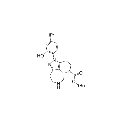 CC(C)c1ccc(-n2nc3c4c2CCN(C(=O)OC(C)(C)C)C4CNCC3)c(O)c1